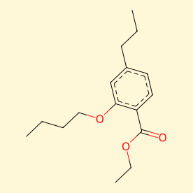 CCCCOc1cc(CCC)ccc1C(=O)OCC